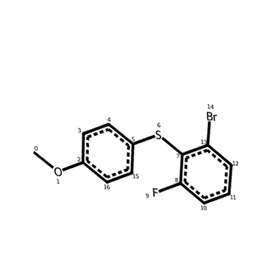 COc1ccc(Sc2c(F)cccc2Br)cc1